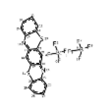 F[B-](F)(F)F.F[B-](F)(F)F.c1ccc2c(c1)N=c1cc3c(cc1S2)=Nc1ccccc1S3